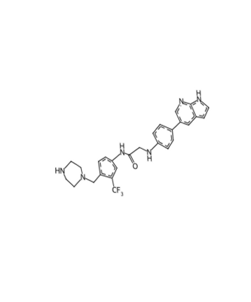 O=C(CNc1ccc(-c2cnc3[nH]ccc3c2)cc1)Nc1ccc(CN2CCNCC2)c(C(F)(F)F)c1